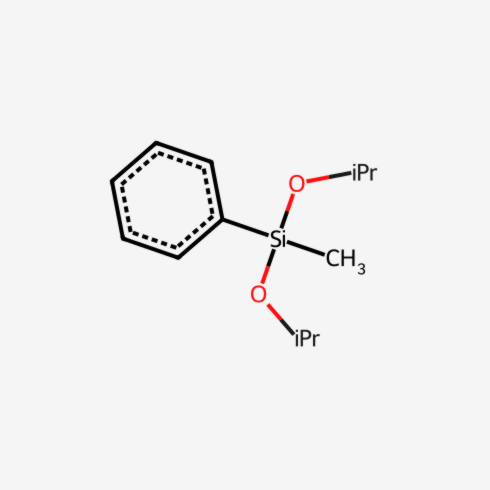 CC(C)O[Si](C)(OC(C)C)c1ccccc1